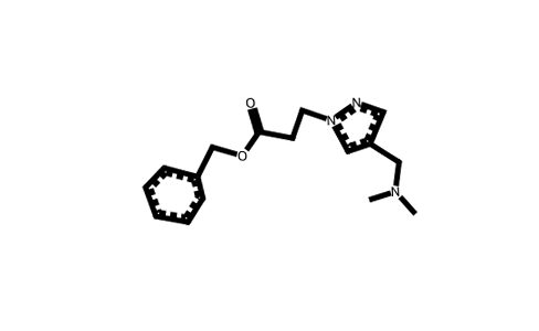 CN(C)Cc1cnn(CCC(=O)OCc2ccccc2)c1